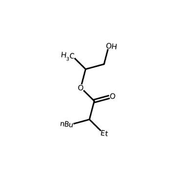 CCCCC(CC)C(=O)OC(C)CO